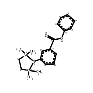 C[Si]1(C)CC[Si](C)(C)N1c1cccc(C(=O)Oc2ccccc2)c1